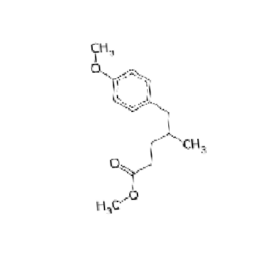 COC(=O)CCC(C)Cc1ccc(OC)cc1